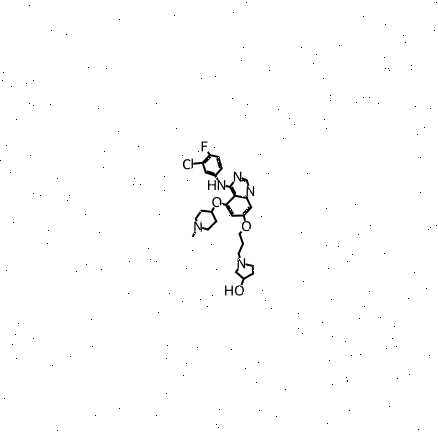 CN1CCC(Oc2cc(OCCCN3CCC(O)C3)cc3ncnc(Nc4ccc(F)c(Cl)c4)c23)CC1